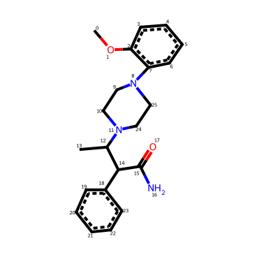 COc1ccccc1N1CCN(C(C)C(C(N)=O)c2ccccc2)CC1